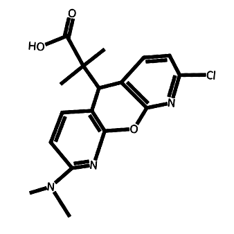 CN(C)c1ccc2c(n1)Oc1nc(Cl)ccc1C2C(C)(C)C(=O)O